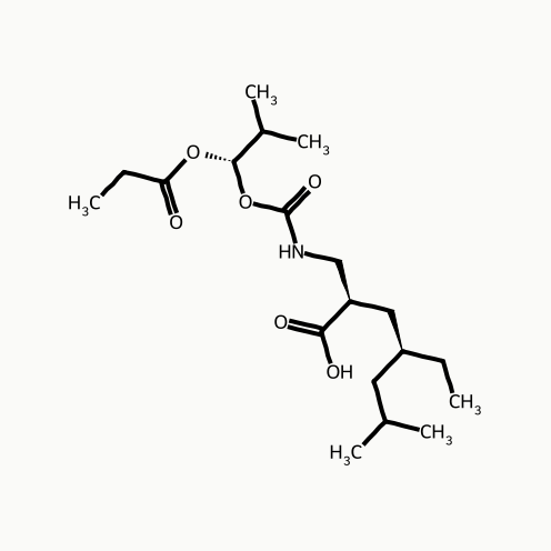 CCC(=O)O[C@@H](OC(=O)NC[C@@H](C[C@@H](CC)CC(C)C)C(=O)O)C(C)C